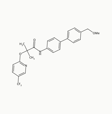 COCc1ccc(-c2ccc(NC(=O)C(C)(C)Oc3ccc(C(F)(F)F)cn3)cc2)cc1